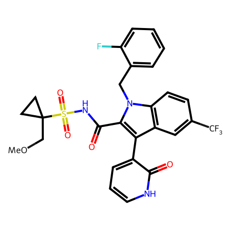 COCC1(S(=O)(=O)NC(=O)c2c(-c3ccc[nH]c3=O)c3cc(C(F)(F)F)ccc3n2Cc2ccccc2F)CC1